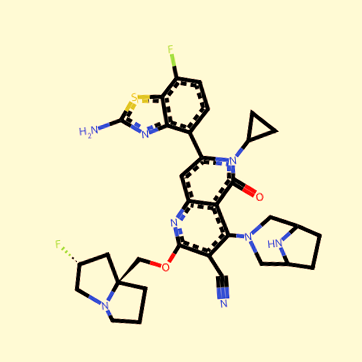 N#Cc1c(OC[C@@]23CCCN2C[C@H](F)C3)nc2cc(-c3ccc(F)c4sc(N)nc34)n(C3CC3)c(=O)c2c1N1CC2CCC(C1)N2